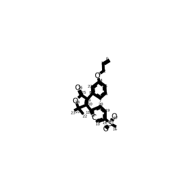 C=CCOc1cccc(C2=C(c3ccc(S(C)(=O)=O)cc3)C(C)(C)OC2=O)c1